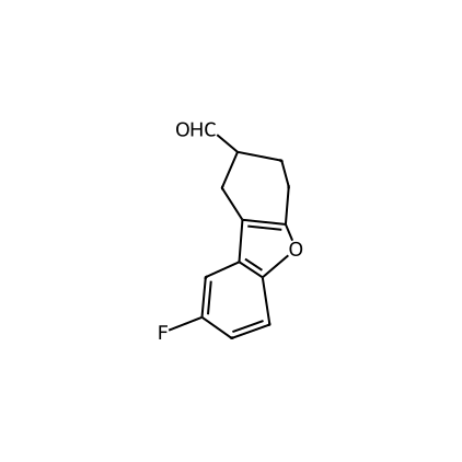 O=CC1CCc2oc3ccc(F)cc3c2C1